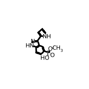 COP(=O)(O)c1ccc2[nH]nc(-c3ccc[nH]3)c2c1